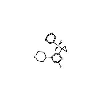 O=S(=O)(c1ccccc1)C1(c2cc(N3CCOCC3)nc(Cl)n2)CC1